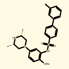 COc1ccc(N2C[C@@H](C)N[C@@H](C)C2)cc1NS(=O)(=O)c1ccc(-c2cccc(C)c2)cc1